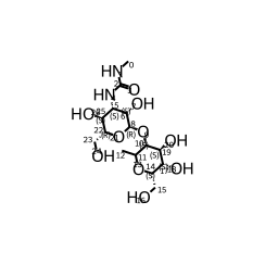 CNC(=O)N[C@@H]1[C@H](O)[C@@H](O[C@@H]2C(C)O[C@@H](CO)[C@@H](O)[C@@H]2O)O[C@H](CO)[C@H]1O